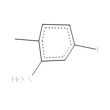 Cc1ccc(I)cc1S(=O)(=O)O